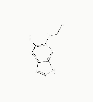 CCSc1cc2[nH]ccc2cc1F